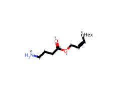 CCCCCC/C=C\COC(=O)CCCN